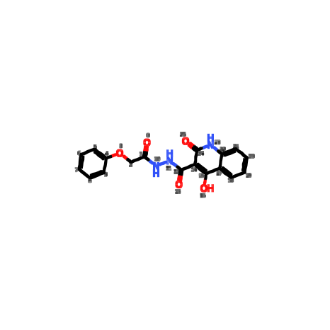 O=C(COc1ccccc1)NNC(=O)c1c(O)c2ccccc2[nH]c1=O